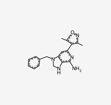 Cc1noc(C)c1-c1cc2c(c(N)n1)NCN2Cc1ccccc1